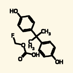 CC(C)(c1ccc(O)cc1)c1ccc(O)cc1.O=C(O)OCF